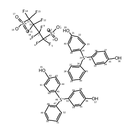 O=S(=O)([O-])C(F)(F)C(F)(F)C(F)(F)C(F)(F)S(=O)(=O)[O-].Oc1ccc([S+](c2ccccc2)c2ccc(O)cc2)cc1.Oc1ccc([S+](c2ccccc2)c2ccc(O)cc2)cc1